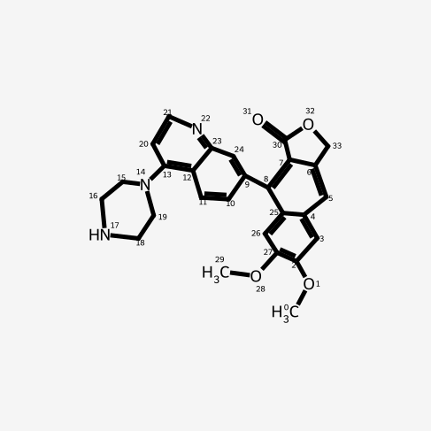 COc1cc2cc3c(c(-c4ccc5c(N6CCNCC6)ccnc5c4)c2cc1OC)C(=O)OC3